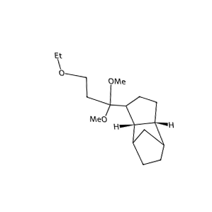 CCOCCC(OC)(OC)C1CC[C@@H]2C3CCC(C3)[C@H]12